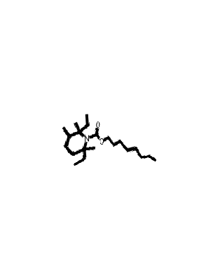 CCCCCCCCOC(=O)N1C(C)(CC)CCC(C)C1(C)CC